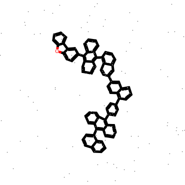 c1cc(-c2ccc(-c3c4ccccc4c(-c4cccc5ccccc45)c4ccccc34)cc2)c2ccc(-c3ccc4c(-c5c6ccccc6c(-c6ccc7oc8ccccc8c7c6)c6ccccc56)cccc4c3)cc2c1